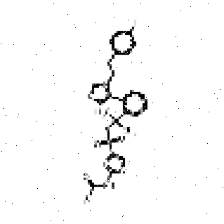 CC(=O)Nc1ncc(S(=O)(=O)NC(C)(C)c2ccccc2-c2cncn2CCc2ccc(F)cc2)s1